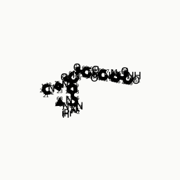 CC(C)n1cnc2cc(-c3ccc4c(c3)N([C@H]3C[C@@H](N5CCCCC5)C3)C(=O)C43CCN(C(=O)C4CCN(S(=O)(=O)C5CCN(c6ccc(C7CCC(=O)NC7=O)cn6)CC5)CC4)CC3)nc(NC3CC3)c21